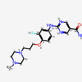 CN1CCN(CCCOc2ccc(Nc3ncc(C(N)=O)cn3)cc2F)CC1